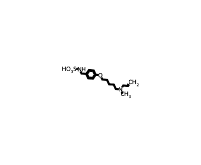 C=CCN(C)CCCCCOc1ccc(CNS(=O)(=O)O)cc1